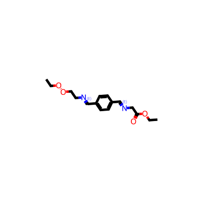 CCOOCC/N=C/c1ccc(/C=N/CC(=O)OCC)cc1